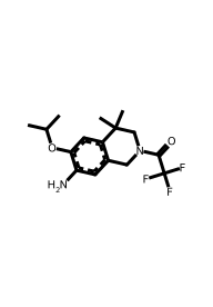 CC(C)Oc1cc2c(cc1N)CN(C(=O)C(F)(F)F)CC2(C)C